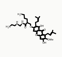 COc1c(O)cc2oc3cc(OCC(CCCN)C(=O)NCNCCN)c(CC=C(C)C)c(O)c3c(=O)c2c1CC=C(C)C